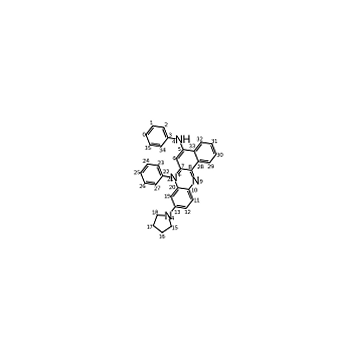 c1ccc(Nc2cc3c(nc4ccc(N5CCCC5)cc4[n+]3-c3ccccc3)c3ccccc23)cc1